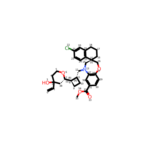 C=CC1(O)CCO[C@H]([C@@H]2CC[C@H]2CN2C[C@@]3(CCCc4cc(Cl)ccc43)COc3ccc(C(=O)OC)cc32)C1